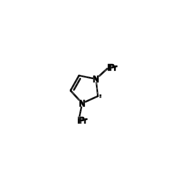 CC(C)N1[C]N(C(C)C)C=C1